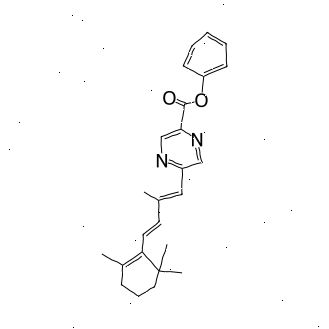 CC1=C(C=C/C(C)=C/c2cnc(C(=O)Oc3ccccc3)cn2)C(C)(C)CCC1